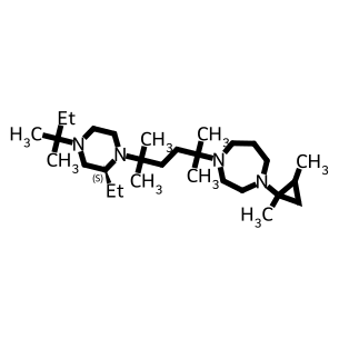 CC[C@H]1CN(C(C)(C)CC)CCN1C(C)(C)CCC(C)(C)N1CCCN(C2(C)CC2C)CC1